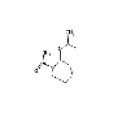 CC(F)OC1CCCC[C@H]1C(N)=O